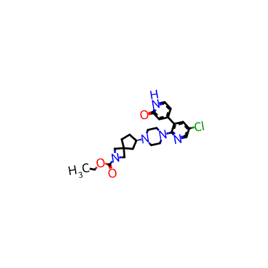 CCOC(=O)N1CC2(CC[C@@H](N3CCN(c4ncc(Cl)cc4-c4cc[nH]c(=O)c4)CC3)C2)C1